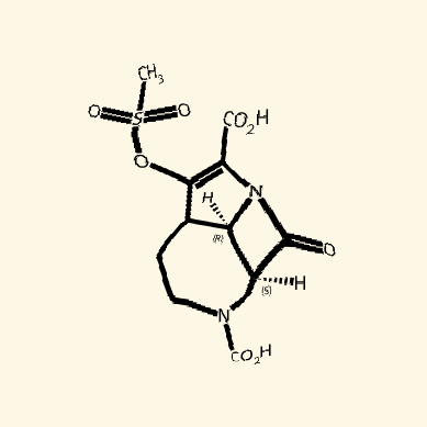 CS(=O)(=O)OC1=C(C(=O)O)N2C(=O)[C@@H]3[C@H]2C1CCN3C(=O)O